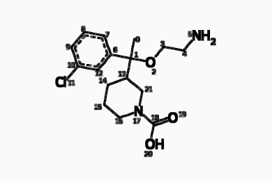 CC(OCCN)(c1cccc(Cl)c1)C1CCCN(C(=O)O)C1